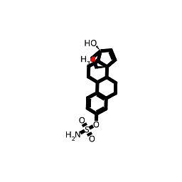 C[C@]12CCC3c4ccc(OS(N)(=O)=O)cc4CCC3[C@@]13C=C[C@]2(O)CC3